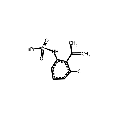 C=C(C)c1c(Cl)cccc1NS(=O)(=O)CCC